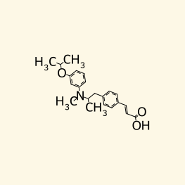 CC(C)Oc1cccc(N(C)C(C)Cc2ccc(C=CC(=O)O)cc2)c1